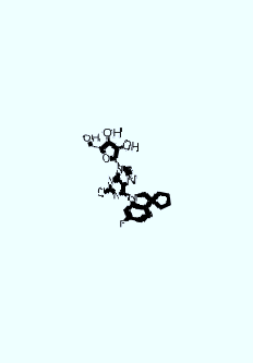 OC[C@H]1O[C@@H](n2cnc3c(N4CC5(CCCC5)c5ccc(F)cc54)nc(Cl)nc32)[C@H](O)[C@@H]1O